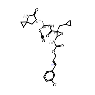 N#CS[C@H](C[C@@H]1CC2(CC2)NC1=O)NC(=O)[C@]1(CC2CC2)SC1NC(=O)OC/C=C/c1cccc(Cl)c1